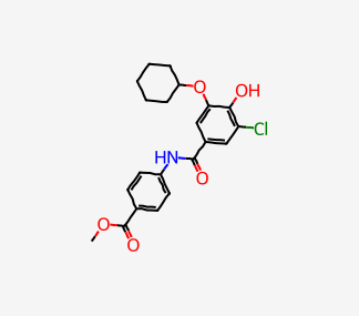 COC(=O)c1ccc(NC(=O)c2cc(Cl)c(O)c(OC3CCCCC3)c2)cc1